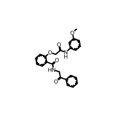 COc1cccc(NC(=O)COc2ccccc2C(=O)NCC(=O)c2ccccc2)c1